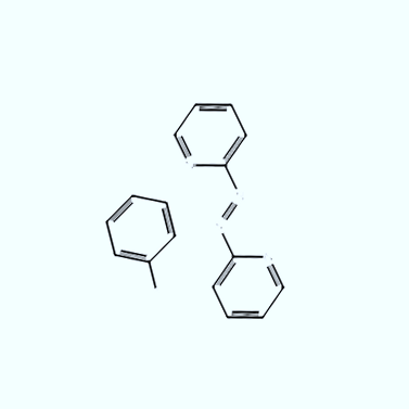 Oc1ccccc1.c1ccc(N=Nc2ccccn2)nc1